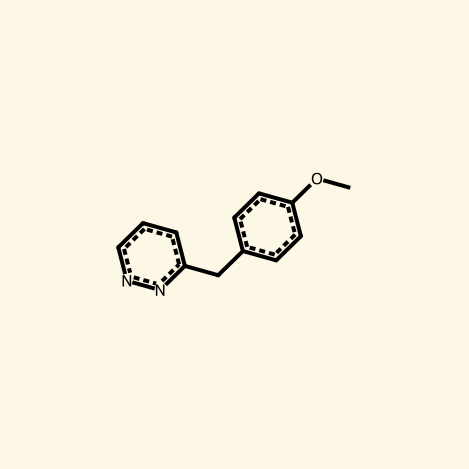 COc1ccc(Cc2cccnn2)cc1